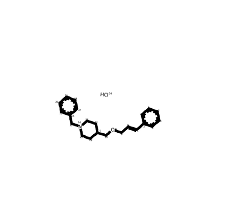 C(=Cc1ccccc1)COCC1CCN(Cc2ccccc2)CC1.Cl